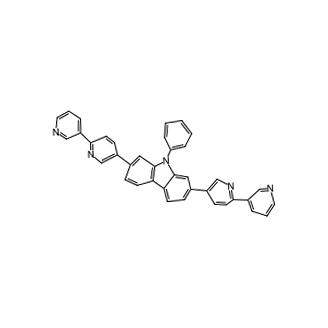 c1ccc(-n2c3cc(-c4ccc(-c5cccnc5)nc4)ccc3c3ccc(-c4ccc(-c5cccnc5)nc4)cc32)cc1